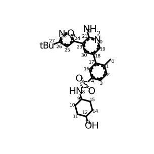 Cc1ccc(S(=O)(=O)NC2CCC(O)CC2)cc1-c1cnc(N)c(-c2cc(C(C)(C)C)no2)c1